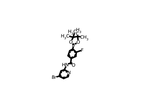 CC1(C)OB(c2ccc(C(=O)Nc3cc(Br)ccn3)cc2F)OC1(C)C